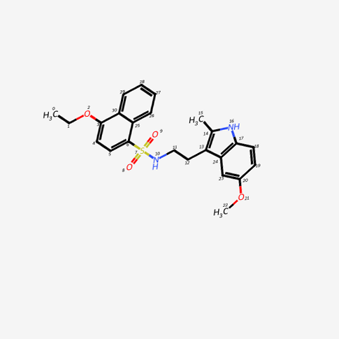 CCOc1ccc(S(=O)(=O)NCCc2c(C)[nH]c3ccc(OC)cc23)c2ccccc12